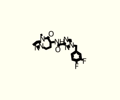 CN1C(=O)C(NC(=O)c2ncn(Cc3ccc(F)c(F)c3)n2)CCn2nccc21